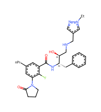 CCCc1cc(C(=O)N[C@@H](Cc2ccccc2)[C@@H](O)CNCc2cnn(CC)c2)c(F)c(N2CCCC2=O)c1